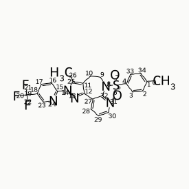 Cc1ccc(S(=O)(=O)N2CCc3c(nn(-c4ccc(C(F)(F)F)cn4)c3C)-c3cccnc32)cc1